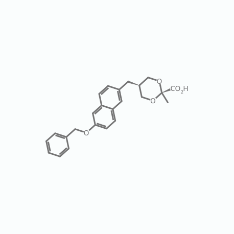 C[C@]1(C(=O)O)OC[C@@H](Cc2ccc3cc(OCc4ccccc4)ccc3c2)CO1